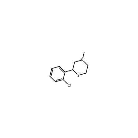 CN1CCSC(c2ccccc2Cl)C1